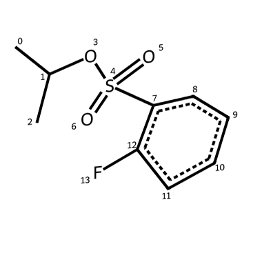 CC(C)OS(=O)(=O)c1ccccc1F